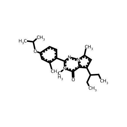 CCC(CC)c1cc(C)n2nc(-c3ccc(OC(C)C)cc3C)n(C)c(=O)c12